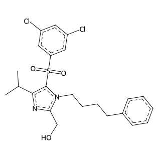 CC(C)c1nc(CO)n(CCCCc2ccccc2)c1S(=O)(=O)c1cc(Cl)cc(Cl)c1